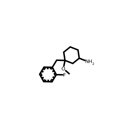 COC1(Cc2ccccc2F)CCCC(N)C1